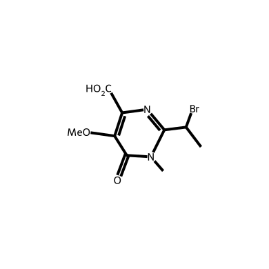 COc1c(C(=O)O)nc(C(C)Br)n(C)c1=O